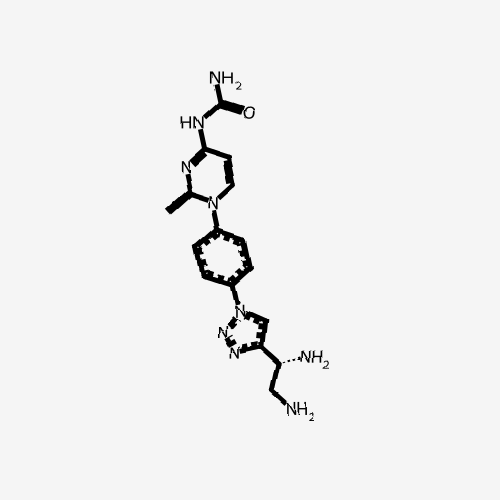 C=C1N=C(NC(N)=O)C=CN1c1ccc(-n2cc([C@H](N)CN)nn2)cc1